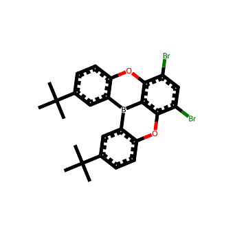 CC(C)(C)c1ccc2c(c1)B1c3cc(C(C)(C)C)ccc3Oc3c(Br)cc(Br)c(c31)O2